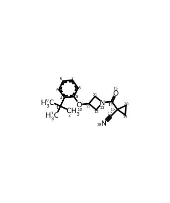 CC(C)(C)c1ccccc1OC1CN(C(=O)C2(C#N)CC2)C1